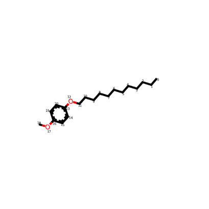 CCCCCCCCCCCCOc1ccc(OC)cc1